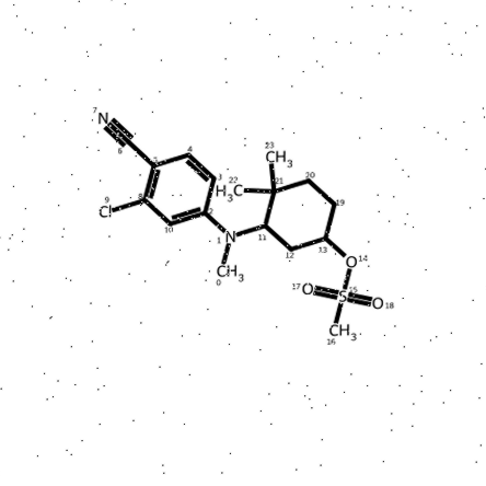 CN(c1ccc(C#N)c(Cl)c1)C1CC(OS(C)(=O)=O)CCC1(C)C